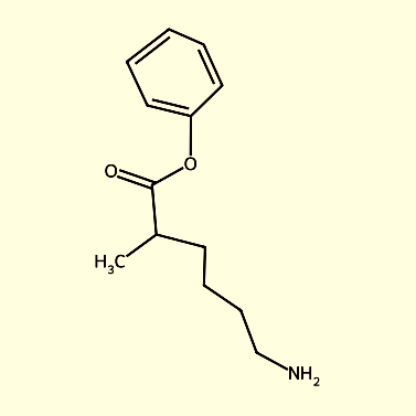 CC(CCCCN)C(=O)Oc1ccccc1